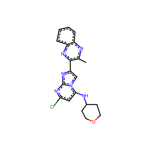 Cc1nc2ccccc2nc1-c1cn2c(NC3CCOCC3)cc(Cl)nc2n1